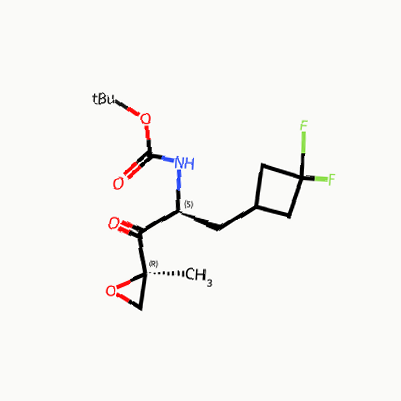 CC(C)(C)OC(=O)N[C@@H](CC1CC(F)(F)C1)C(=O)[C@@]1(C)CO1